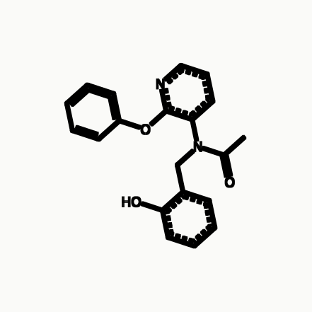 CC(=O)N(Cc1ccccc1O)c1cccnc1OC1=C=C=CC=C1